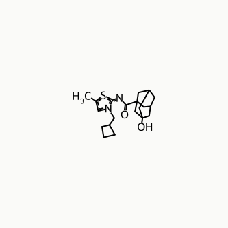 Cc1cn(CC2CCC2)c(=NC(=O)C23CC4CC(CC(O)(C4)C2)C3)s1